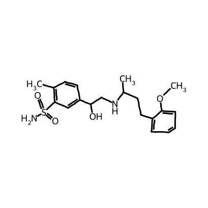 COc1ccccc1CCC(C)NCC(O)c1ccc(C)c(S(N)(=O)=O)c1